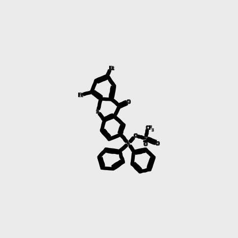 CCc1cc(CC)c2sc3ccc(S(OS(=O)(=O)C(F)(F)F)(c4ccccc4)c4ccccc4)cc3c(=O)c2c1